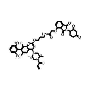 C=CC(=O)N1C[C@H](C)N(c2nc(OCCCNC(=O)COc3cccc4c3C(=O)N(C3CCC(=O)CC3=O)C4=O)nc3c(F)c(-c4c(O)cccc4F)c(Cl)cc23)C[C@H]1C